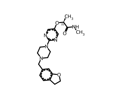 CNC(=O)[C@H](C)Oc1cnc(N2CCN(Cc3ccc4c(c3)OCC4)CC2)nc1